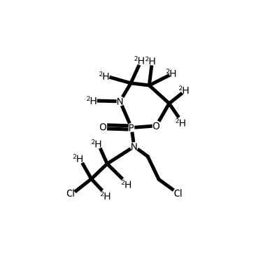 [2H]N1C([2H])([2H])C([2H])([2H])C([2H])([2H])OP1(=O)N(CCCl)C([2H])([2H])C([2H])([2H])Cl